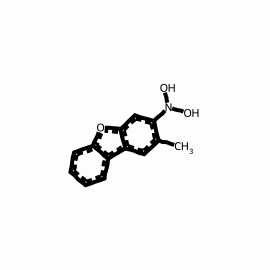 Cc1cc2c(cc1N(O)O)oc1ccccc12